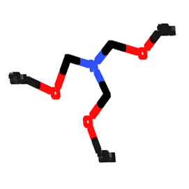 CC(C)(C)OCN(COC(C)(C)C)COC(C)(C)C